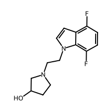 OC1CCN(CCn2ccc3c(F)ccc(F)c32)C1